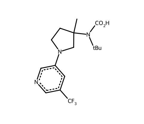 CC(C)(C)N(C(=O)O)C1(C)CCN(c2cncc(C(F)(F)F)c2)C1